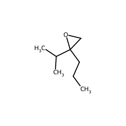 CCCC1(C(C)C)CO1